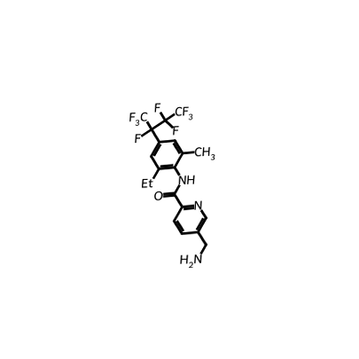 CCc1cc(C(F)(C(F)(F)F)C(F)(F)C(F)(F)F)cc(C)c1NC(=O)c1ccc(CN)cn1